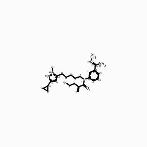 C=C(CCF)C(=O)N(CCCCCc1cc(C2CC2)nn1C)c1cccc(/C(N)=N/O)c1